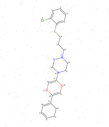 Clc1ccccc1SCCCN1CCN(C2=COC(C3=CC=CCC3)=CO2)CC1